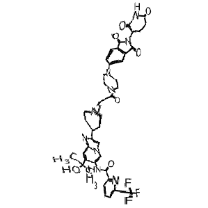 CC(C)(O)c1cc2nc(C3CCN(CC(=O)N4CCN(c5ccc6c(c5)C(=O)N(C5CCC(=O)NC5=O)C6=O)CC4)CC3)cn2cc1NC(=O)c1cccc(C(F)(F)F)n1